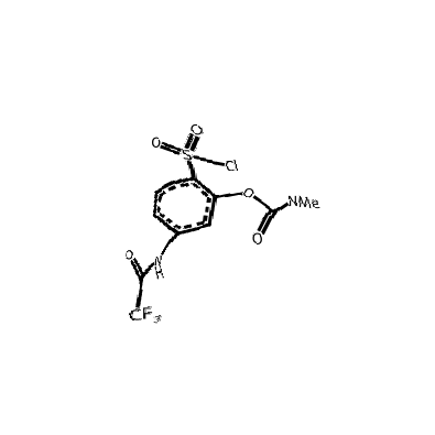 CNC(=O)Oc1cc(NC(=O)C(F)(F)F)ccc1S(=O)(=O)Cl